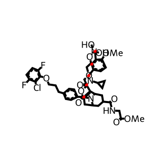 COC(=O)CNC(=O)C1CC2CC(c3ccc(CCCOc4c(F)ccc(F)c4Cl)cc3)=C(C(=O)N(Cc3ccc(OC)c(C)c3)C3CC3)C(C1)N2C(=O)OCCOCCON(O)O